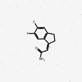 NC(=O)/C=C1/CCc2cc(F)c(F)cc21